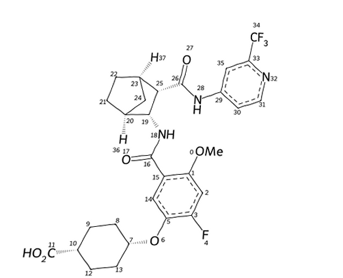 COc1cc(F)c(O[C@H]2CC[C@@H](C(=O)O)CC2)cc1C(=O)N[C@@H]1[C@H]2CC[C@H](C2)[C@@H]1C(=O)Nc1ccnc(C(F)(F)F)c1